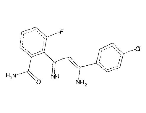 N=C(/C=C(\N)c1ccc(Cl)cc1)c1c(F)cccc1C(N)=O